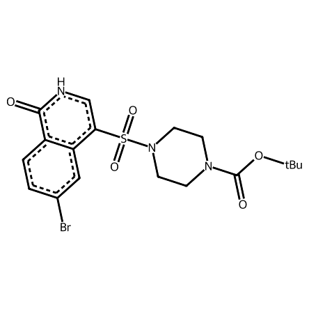 CC(C)(C)OC(=O)N1CCN(S(=O)(=O)c2c[nH]c(=O)c3ccc(Br)cc23)CC1